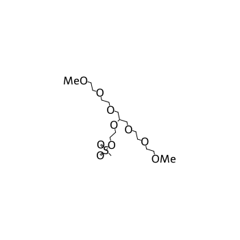 COCCOCCOCC(COCCOCCOC)OCCOS(C)(=O)=O